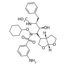 Nc1cccc(S(=O)(=O)N(OC2CCCCC2)C([C@H](O)[C@H](Cc2ccccc2)NC(=O)O)[C@@H]2CO[C@H]3OCC[C@H]32)c1